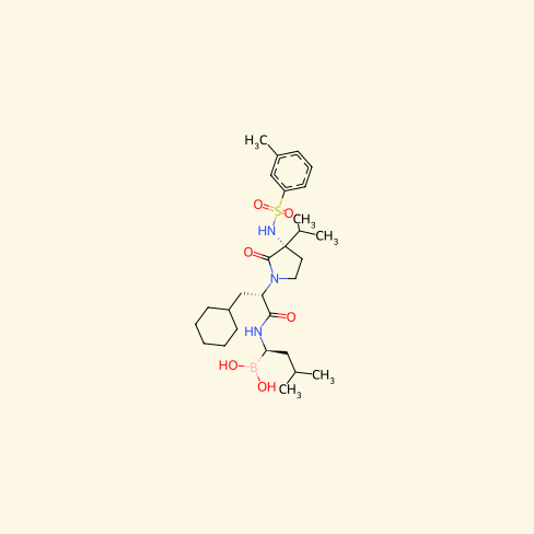 Cc1cccc(S(=O)(=O)N[C@]2(C(C)C)CCN([C@@H](CC3CCCCC3)C(=O)N[C@@H](CC(C)C)B(O)O)C2=O)c1